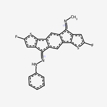 C/N=c1/c2cc3c(cc2c2sc(F)cc12)/c(=N/Nc1ccccc1)c1cc(F)sc13